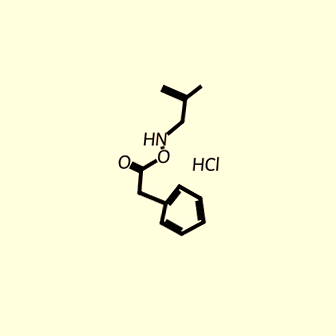 C=C(C)CNOC(=O)Cc1ccccc1.Cl